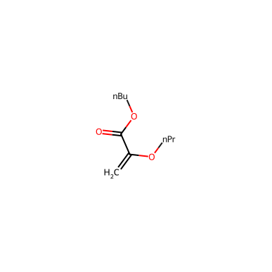 C=C(OCCC)C(=O)OCCCC